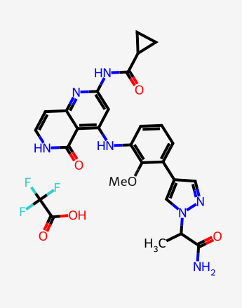 COc1c(Nc2cc(NC(=O)C3CC3)nc3cc[nH]c(=O)c23)cccc1-c1cnn(C(C)C(N)=O)c1.O=C(O)C(F)(F)F